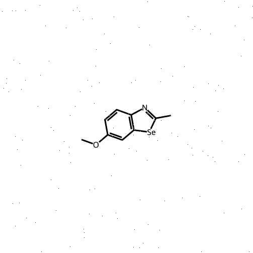 COc1ccc2nc(C)[se]c2c1